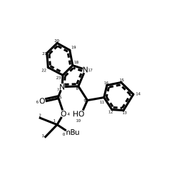 CCCCC(C)(C)OC(=O)n1c(C(O)c2ccccc2)nc2ccccc21